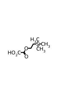 C[Si](C)(C)CCOC(=O)C(=O)O